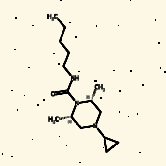 CCCCCNC(=O)N1[C@H](C)CN(C2CC2)C[C@@H]1C